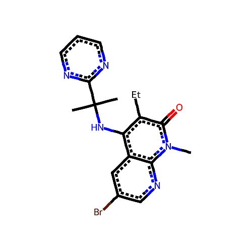 CCc1c(NC(C)(C)c2ncccn2)c2cc(Br)cnc2n(C)c1=O